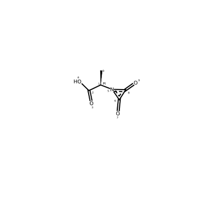 C[C@H](C(=O)O)n1c(=O)c1=O